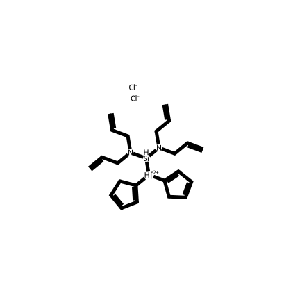 C=CCN(CC=C)[SiH](N(CC=C)CC=C)[Hf+2]([C]1=CC=CC1)[C]1=CC=CC1.[Cl-].[Cl-]